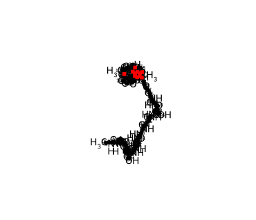 CCCNC(=O)Nc1cccc(S(=O)(=O)Nc2cccc([C@@H](CC(=O)O)NC(=O)Nc3ccc(NC(=O)NCCNC(=O)CCCC(=O)NNSCC(CC(=O)O)C(=O)NCC(=O)NCCOCCOCCOCCC(=O)N[C@@H](CC(=O)O)C(=O)N4CCC[C@H]4C(=O)N[C@H](C(=O)O[C@]4(CC)C(=O)OCc5c4cc4n(c5=O)Cc5c-4nc4ccccc4c5CC)C(C)C)cc3)c2)c1